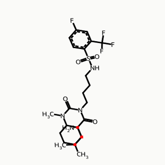 CC(C)C[C@H](N)C(=O)N(CCCCNS(=O)(=O)c1ccc(F)cc1C(F)(F)F)C(=O)N(C)C1CCCCC1